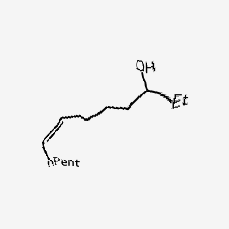 CCCCC/C=C\CCCC(O)CC